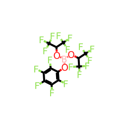 Fc1c(F)c(F)c(OB(OC(C(F)(F)F)C(F)(F)F)OC(C(F)(F)F)C(F)(F)F)c(F)c1F